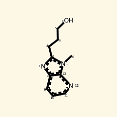 Cn1c(CCCO)nc2cccnc21